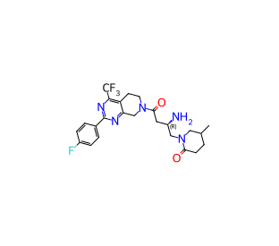 CC1CCC(=O)N(C[C@H](N)CC(=O)N2CCc3c(nc(-c4ccc(F)cc4)nc3C(F)(F)F)C2)C1